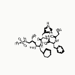 CCCS(=O)(=O)NC[C@@H](C[C@H](O)[C@H](CC1CCCCC1)NC(=O)[C@H](Cc1c[nH]cn1)NC(=O)[C@H](Cc1ccccc1)NC(=O)CC(C)(C)C)C(C)C